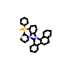 S=P(c1ccccc1)(c1ccccc1)c1cccc2c1nc1c3ccccc3c3ccc4ccccc4c3n21